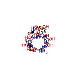 CC(O)C1NC(=O)C(N)CC(O)C(O)NC(=O)C2C(O)C(C)CN2C(=O)C(C(O)CC(N)=O)NC(=O)C(C(O)C(O)c2ccc(O)c(O[SH](=O)=O)c2)NC(=O)C2CC(O)CN2C1=O